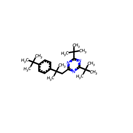 CC(C)(C)c1ccc(C(C)(C)Cc2nc(C(C)(C)C)nc(C(C)(C)C)n2)cc1